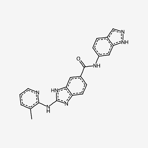 Cc1cccnc1Nc1nc2ccc(C(=O)Nc3ccc4cn[nH]c4c3)cc2[nH]1